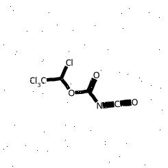 O=C=NC(=O)OC(Cl)C(Cl)(Cl)Cl